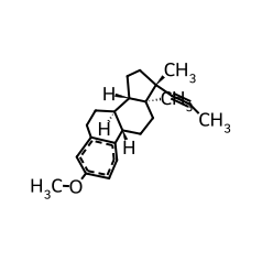 CC#C[C@@]1(C)CC[C@H]2[C@@H]3CCc4cc(OC)ccc4[C@H]3CC[C@@]21C